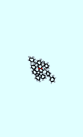 c1ccc(-c2ccc(N(c3ccc4c(c3)C(c3ccccc3)(c3ccccc3)c3ccccc3-4)c3cccc4c3-c3cccc5c(N(c6ccccc6)c6ccccc6)ccc(c35)O4)cc2)cc1